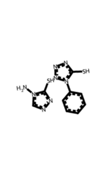 Nn1cnnc1S.Sc1nnnn1-c1ccccc1